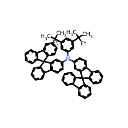 CCC(C)(C)c1cc(N(c2ccc3c(c2)C2(c4ccccc4-c4ccccc42)c2ccccc2-3)c2ccc3c(c2)C2(c4ccccc4-c4ccccc42)c2ccccc2-3)cc(C(C)(C)CC)c1